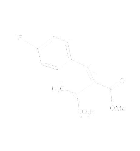 COC(=O)/C(=C/c1ccc(F)cc1)C(C)C(=O)O